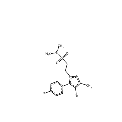 Cc1nn(CCS(=O)(=O)N(C)C)c(-c2ccc(F)cc2)c1Br